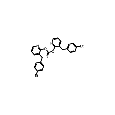 CCc1ccc(Cc2cccnc2OC(=O)Oc2ncccc2Cc2ccc(CC)cc2)cc1